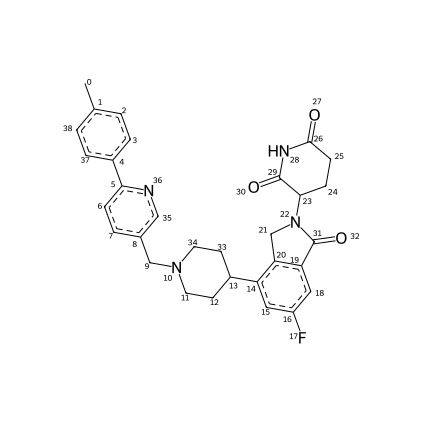 Cc1ccc(-c2ccc(CN3CCC(c4cc(F)cc5c4CN(C4CCC(=O)NC4=O)C5=O)CC3)cn2)cc1